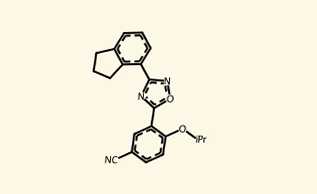 CC(C)Oc1ccc(C#N)cc1-c1nc(-c2cccc3c2CCC3)no1